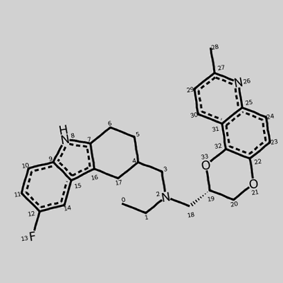 CCN(CC1CCc2[nH]c3ccc(F)cc3c2C1)C[C@H]1COc2ccc3nc(C)ccc3c2O1